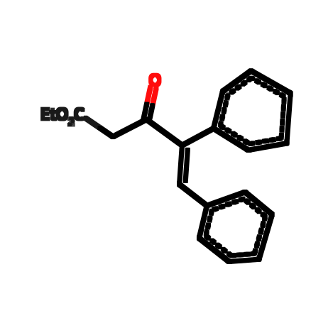 CCOC(=O)CC(=O)/C(=C/c1ccccc1)c1ccccc1